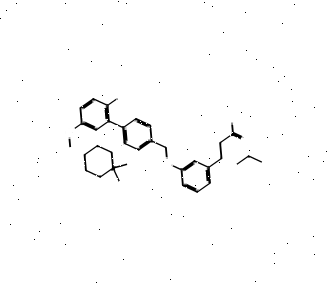 CCC[C@@H](CC(=O)O)c1cccc(OCc2ccc(-c3cc(OC)ccc3F)c([C@H]3CCCCC3(C)C)c2)c1